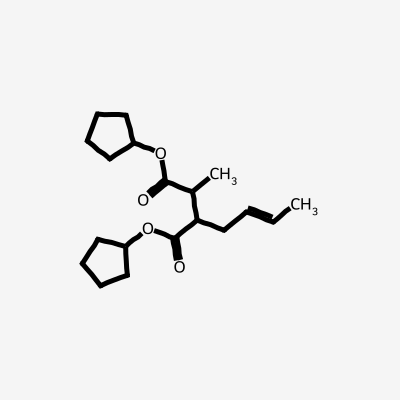 CC=CCC(C(=O)OC1CCCC1)C(C)C(=O)OC1CCCC1